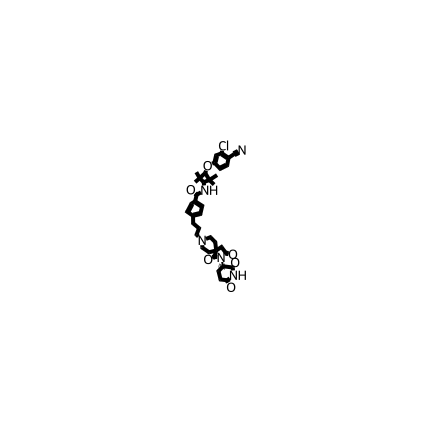 CC1(C)C(NC(=O)c2ccc(CCCN3CCC4(CC3)CC(=O)N([C@@H]3CCC(=O)NC3=O)C4=O)cc2)C(C)(C)C1Oc1ccc(C#N)c(Cl)c1